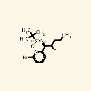 CCCC(F)/C(=N/[S@+]([O-])C(C)(C)C)c1cccc(Br)n1